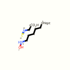 CCCCCCCCCCCCNO.O=C(O)CN=S